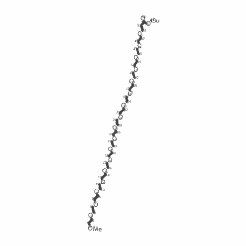 COCCOCCOCCOCCOCCOCCOCCOCCOCCOCCOCCOCCOCCOCCOCCOCCOCCOCCC(=O)OC(C)(C)C